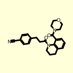 N#Cc1ccc(CCC(=O)N2CCCc3cccc(C(=O)N4CCOCC4)c32)cc1